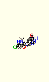 CC(C)NC[C@@H](C(=O)N1CCC(c2ncnc3c2[C@H](C)CC(=O)N3)CC1)c1ccc(Cl)cc1